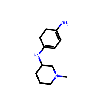 CN1CCCC(NC2=CC=C(N)CC2)C1